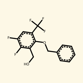 OCc1c(F)c(F)cc(C(F)(F)F)c1OCc1ccccc1